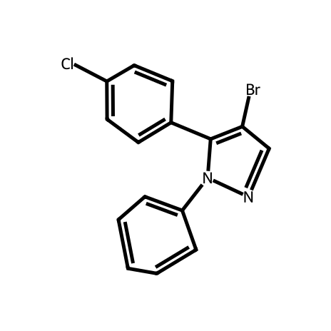 Clc1ccc(-c2c(Br)cnn2-c2ccccc2)cc1